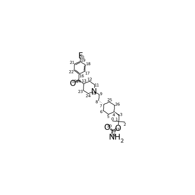 CC(C)(C[C@H]1CC[C@H](CCN2CCC(C(=O)c3ccc(F)cc3)CC2)CC1)OC(N)=O